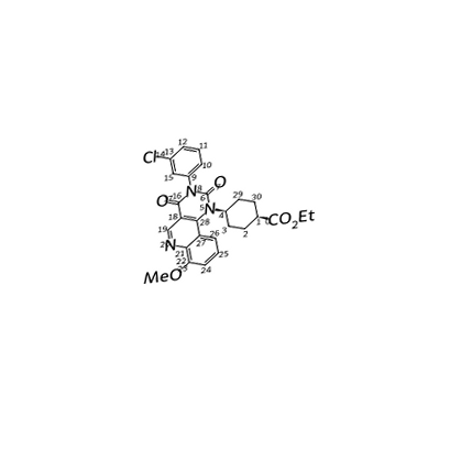 CCOC(=O)[C@H]1CC[C@@H](n2c(=O)n(-c3cccc(Cl)c3)c(=O)c3cnc4c(OC)cccc4c32)CC1